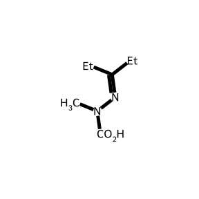 CCC(CC)=NN(C)C(=O)O